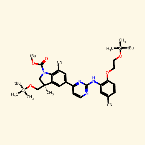 CC(C)(C)OC(=O)N1C[C@](C)(CO[Si](C)(C)C(C)(C)C)c2cc(-c3ccnc(Nc4cc(C#N)ccc4OCCO[Si](C)(C)C(C)(C)C)n3)cc(C#N)c21